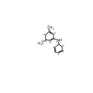 CC1=NC(NC2C=CC=CC2)=NC(C)C1